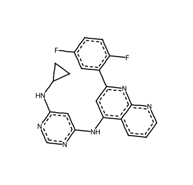 Fc1ccc(F)c(-c2cc(Nc3cc(NC4CC4)ncn3)c3cccnc3n2)c1